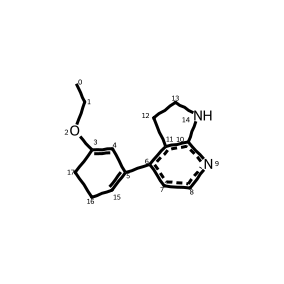 CCOC1=CC(c2ccnc3c2CCN3)=CCC1